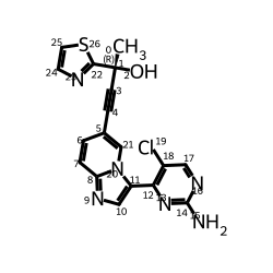 C[C@@](O)(C#Cc1ccc2ncc(-c3nc(N)ncc3Cl)n2c1)c1nccs1